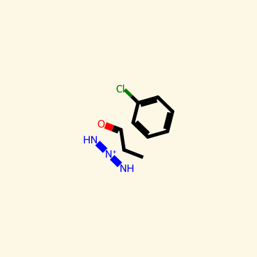 CCC=O.Clc1ccccc1.N=[N+]=N